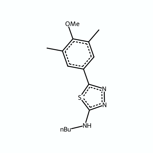 CCCCNc1nnc(-c2cc(C)c(OC)c(C)c2)s1